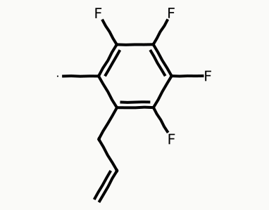 [CH2]c1c(F)c(F)c(F)c(F)c1CC=C